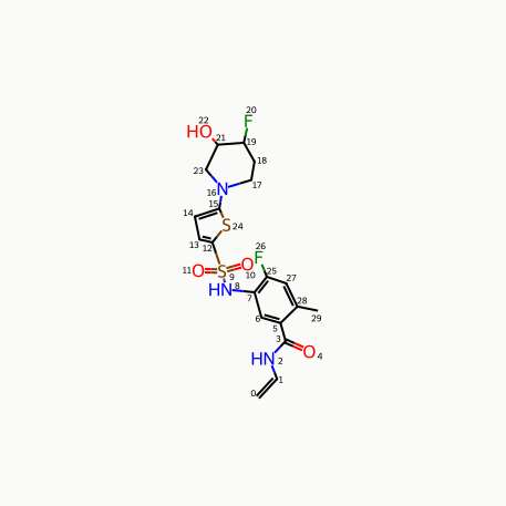 C=CNC(=O)c1cc(NS(=O)(=O)c2ccc(N3CCC(F)C(O)C3)s2)c(F)cc1C